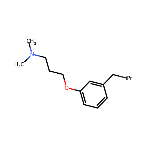 CC(C)Cc1cccc(OCCCN(C)C)c1